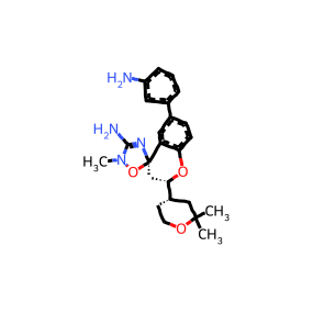 CN1O[C@@]2(C[C@@H]([C@H]3CCOC(C)(C)C3)Oc3ccc(-c4cccc(N)c4)cc32)N=C1N